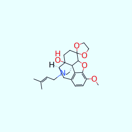 COc1ccc2c3c1OC1C4(CCC5(O)[C@H](C2)N(CC=C(C)C)CC[C@@]315)OCCO4